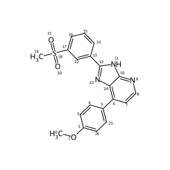 COc1ccc(-c2ccnc3[nH]c(-c4cccc(S(C)(=O)=O)c4)nc23)cc1